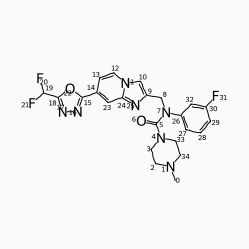 CN1CCN(C(=O)N(Cc2cn3ccc(-c4nnc(C(F)F)o4)cc3n2)c2cccc(F)c2)CC1